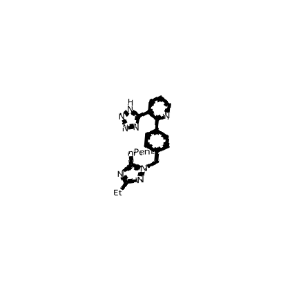 CCCCCc1nc(CC)nn1Cc1ccc(-c2ncccc2-c2nnn[nH]2)cc1